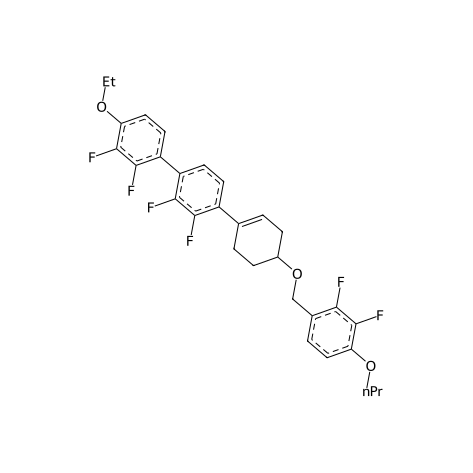 CCCOc1ccc(COC2CC=C(c3ccc(-c4ccc(OCC)c(F)c4F)c(F)c3F)CC2)c(F)c1F